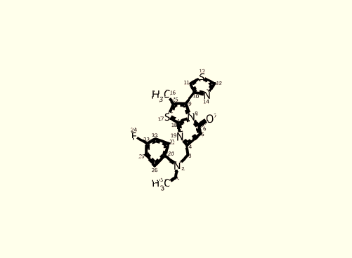 CCN(Cc1cc(=O)n2c(-c3cscn3)c(C)sc2n1)c1ccc(F)cc1